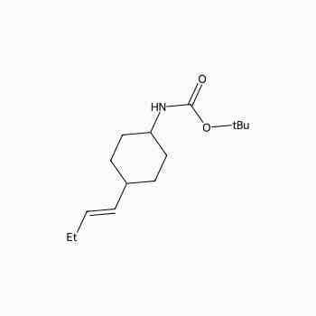 CCC=CC1CCC(NC(=O)OC(C)(C)C)CC1